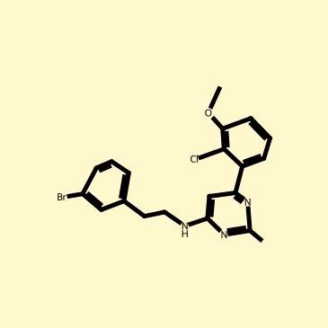 COc1cccc(-c2cc(NCCc3cccc(Br)c3)nc(C)n2)c1Cl